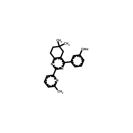 COc1cccc(-c2nc(-c3cccc(C)n3)nc3c2CC(C)(C)CC3)c1